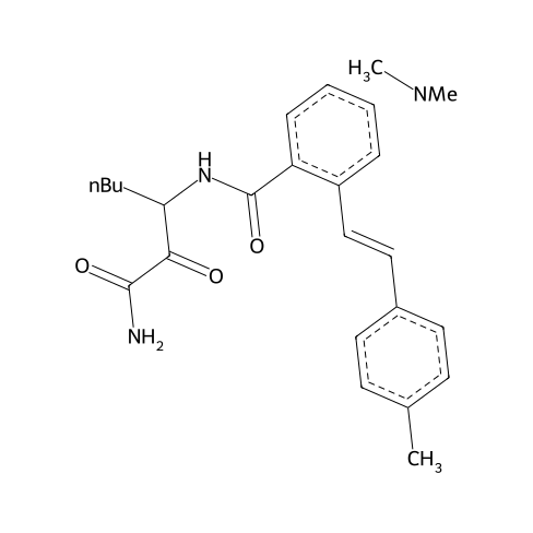 CCCCC(NC(=O)c1ccccc1C=Cc1ccc(C)cc1)C(=O)C(N)=O.CNC